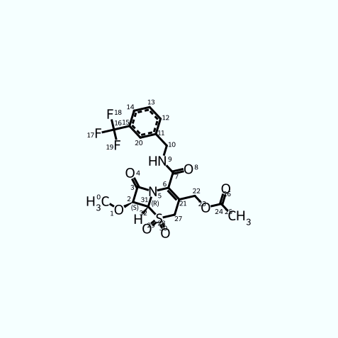 CO[C@H]1C(=O)N2C(C(=O)NCc3cccc(C(F)(F)F)c3)=C(COC(C)=O)CS(=O)(=O)[C@H]12